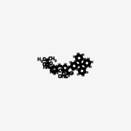 CN(C)S(=O)(=O)Nc1cc(CN2CN(c3ccc(C(c4ccccc4)(c4ccccc4)c4ccccc4)cc3)C(C(=O)C=O)C2(C)C)ccn1